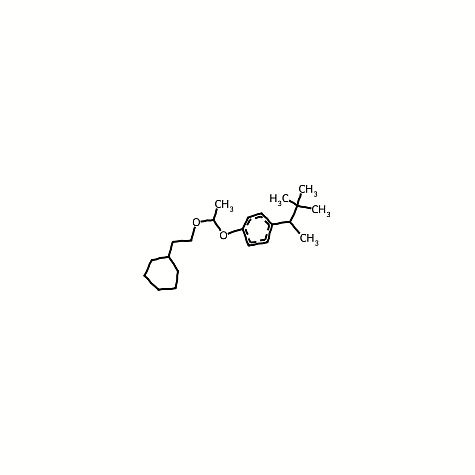 CC(OCCC1CCCCC1)Oc1ccc(C(C)C(C)(C)C)cc1